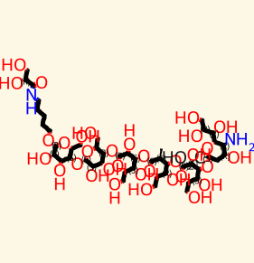 C[C@H]1C(O[C@@H]2OC(CO)[C@H](O)C(O[C@]3(C(=O)O)C[C@@H](O)[C@@H](N)C([C@H](O)[C@H](O)CO)O3)[C@@H]2O)[C@@H](O)C(CO)O[C@H]1O[C@@H]1C(O)[C@@H](O[C@H]2C(CO)O[C@@H](O[C@@H]3C(CO)O[C@@H](OCCCCCNC(=O)[C@H](O)CO)[C@@H](O)C3O)[C@@H](O)C2O)OC(CO)[C@@H]1O